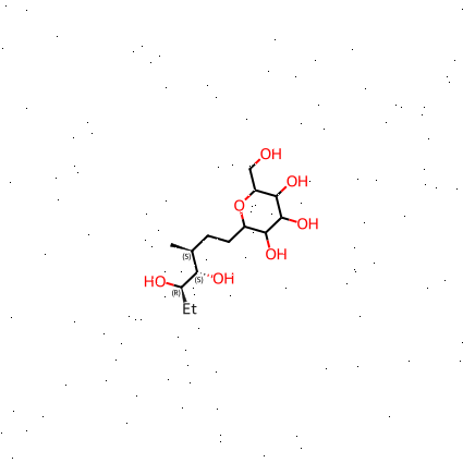 CC[C@@H](O)[C@@H](O)[C@@H](C)CCC1OC(CO)C(O)C(O)C1O